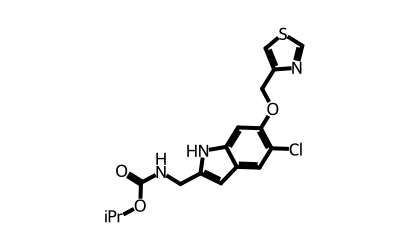 CC(C)OC(=O)NCc1cc2cc(Cl)c(OCc3cscn3)cc2[nH]1